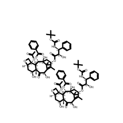 CC(=O)O[C@@]12CO[C@@H]1C[C@H](O)[C@@]1(C)C(=O)[C@H](O)C3=C(C)[C@@H](OC(=O)[C@H](O)[C@@H](NC(=O)OC(C)(C)C)c4ccccc4)C[C@@](O)([C@@H](OC(=O)c4ccccc4)[C@H]21)C3(C)C.CC(=O)O[C@@]12CO[C@@H]1C[C@H](O)[C@@]1(C)C(=O)[C@H](O)C3=C(C)[C@@H](OC(=O)[C@H](O)[C@@H](NC(=O)OC(C)(C)C)c4ccccc4)C[C@@](O)([C@@H](OC(=O)c4ccccc4)[C@H]21)C3(C)C